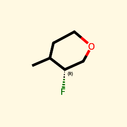 CC1CCOC[C@@H]1F